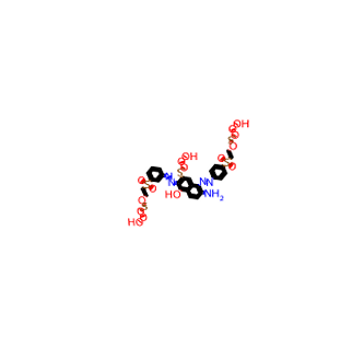 Nc1ccc2c(O)c(/N=N/c3cccc(S(=O)(=O)CCOSOOO)c3)c(SOOO)cc2c1/N=N/c1ccc(S(=O)(=O)CCOSOOO)cc1